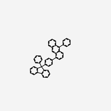 c1ccc(-c2c3ccccc3cc3c(-c4ccc(C5(c6ccccc6)c6ccccc6-c6ccccc65)cc4)cccc23)cc1